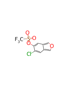 O=S(=O)(Oc1cc2cocc2cc1Cl)C(F)(F)F